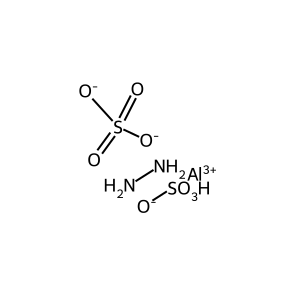 NN.O=S(=O)([O-])O.O=S(=O)([O-])[O-].[Al+3]